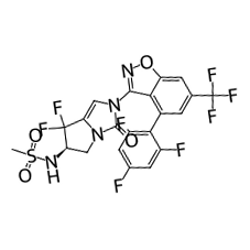 CS(=O)(=O)N[C@@H]1Cn2c(cn(-c3noc4cc(C(F)(F)F)cc(-c5c(F)cc(F)cc5F)c34)c2=O)C1(F)F